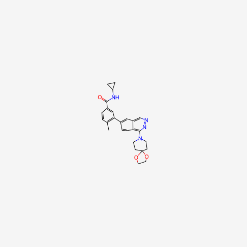 Cc1ccc(C(=O)NC2CC2)cc1-c1ccc2c(N3CCC4(CC3)OCCO4)nncc2c1